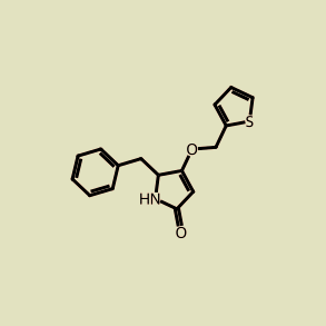 O=C1C=C(OCc2cccs2)C(Cc2ccccc2)N1